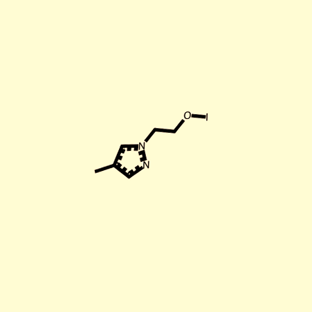 Cc1cnn(CCOI)c1